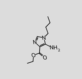 CCCCn1cnc(C(=O)OCC)c1N